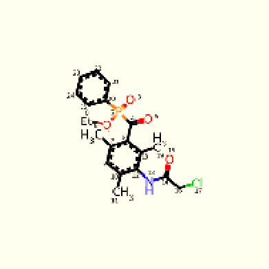 CCOP(=O)(C(=O)c1c(C)cc(C)c(NC(=O)CCl)c1C)c1ccccc1